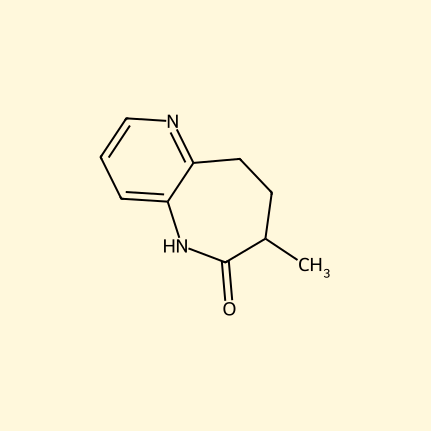 CC1CCc2ncccc2NC1=O